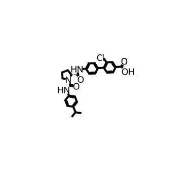 CC(C)c1ccc(NC(=O)N2CCC[C@@H]2C(=O)Nc2ccc(-c3ccc(C(=O)O)cc3Cl)cc2)cc1